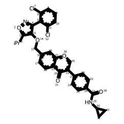 CC(C)c1onc(-c2c(Cl)cccc2Cl)c1OCc1ccc2c(=O)c(-c3ccc(C(=O)NC4CC4)cc3)coc2c1